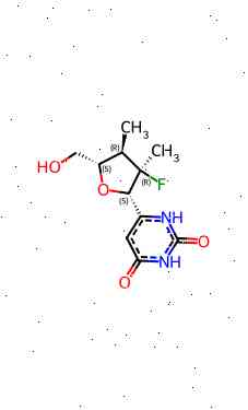 C[C@@H]1[C@@H](CO)O[C@@H](c2cc(=O)[nH]c(=O)[nH]2)[C@]1(C)F